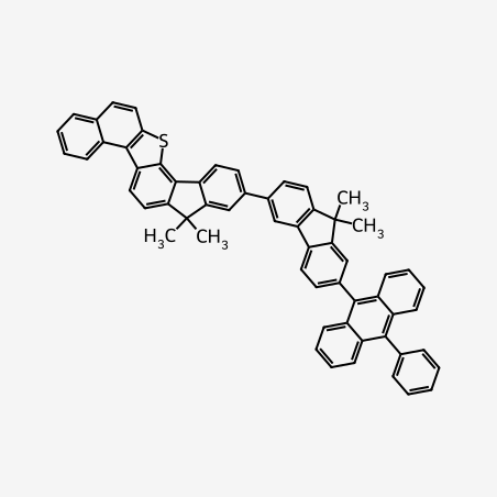 CC1(C)c2ccc(-c3ccc4c(c3)C(C)(C)c3ccc5c(sc6ccc7ccccc7c65)c3-4)cc2-c2ccc(-c3c4ccccc4c(-c4ccccc4)c4ccccc34)cc21